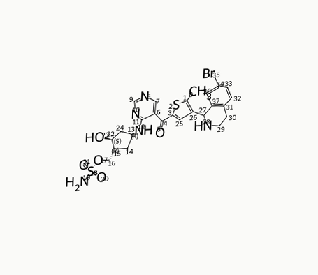 Cc1sc(C(=O)c2cncnc2N[C@@H]2C[C@H](COS(N)(=O)=O)[C@@H](O)C2)cc1C1NCCc2ccc(Br)cc21